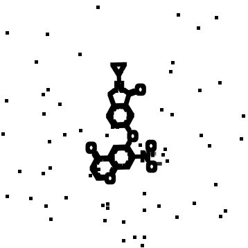 O=C1c2cc(Oc3cc4c(=O)ccoc4cc3[N+](=O)[O-])ccc2CN1C1CC1